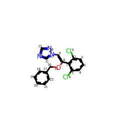 Clc1cccc(Cl)c1C(=Cn1cncn1)OCc1ccccc1